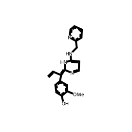 C=C/C(=C1/N=CC=C(NCc2ccccn2)N1)c1ccc(O)c(OC)c1